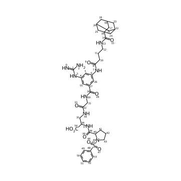 N=C(N)Nc1cc(NC(=O)CCCNC(=O)C23CC4CC(CC(C4)C2)C3)cc(C(=O)NCC(=O)NCC(NC(=O)C2CCCN2S(=O)(=O)c2ccccc2)C(=O)O)c1